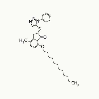 CCCCCCCCCCCCOc1ccc(C)c2c1C(=O)C(Sc1nnnn1-c1ccccc1)C2